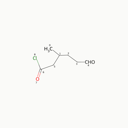 CC(CCC=O)CC(=O)Cl